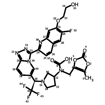 Cc1oc(=O)oc1CN(C(=O)O)C1CCN([C@H](c2ccc3nnc(-c4ccc5cc(F)c(OCCO)cc5n4)n3c2)C(F)(F)F)C1